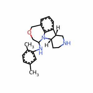 Cc1ccc(C)c(NC2COCc3cccc4c3N2[C@H]2CCNC[C@@H]42)c1